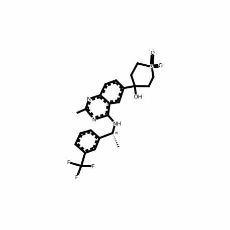 Cc1nc(N[C@H](C)c2cccc(C(F)(F)F)c2)c2cc(C3(O)CCS(=O)(=O)CC3)ccc2n1